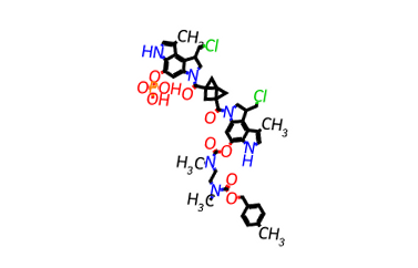 Cc1ccc(COC(=O)N(C)CCN(C)C(=O)Oc2cc3c(c4c(C)c[nH]c24)C(CCl)CN3C(=O)C23CC4(C(=O)N5CC(CCl)c6c5cc(OP(=O)(O)O)c5[nH]cc(C)c65)CC24C3)cc1